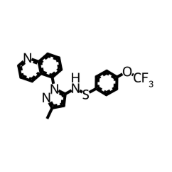 Cc1cc(NSc2ccc(OC(F)(F)F)cc2)n(-c2cccc3ncccc23)n1